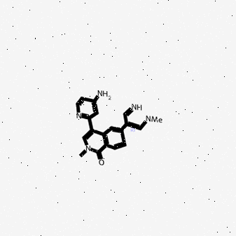 CN/C=C(\C=N)c1ccc2c(=O)n(C)cc(-c3cc(N)ccn3)c2c1